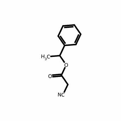 CC(OC(=O)CC#N)c1ccccc1